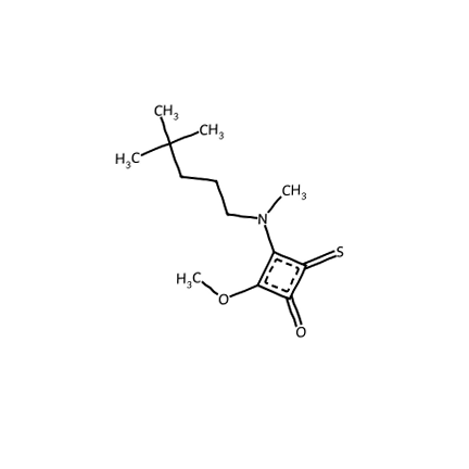 COc1c(N(C)CCCC(C)(C)C)c(=S)c1=O